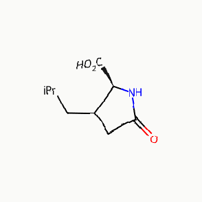 CC(C)CC1CC(=O)N[C@@H]1C(=O)O